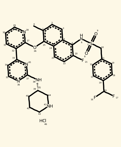 Cc1ccc2c(NS(=O)(=O)Cc3ccc(C(F)F)cc3)c(F)ccc2c1Oc1ncccc1-c1ccnc(N[C@H]2CCCNC2)n1.Cl